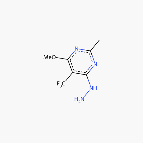 COc1nc(C)nc(NN)c1C(F)(F)F